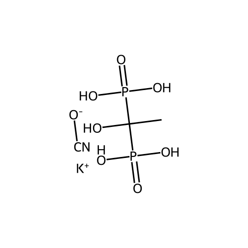 CC(O)(P(=O)(O)O)P(=O)(O)O.N#C[O-].[K+]